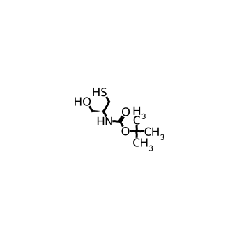 CC(C)(C)OC(=O)N[C@@H](CO)CS